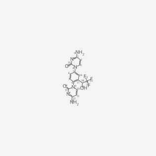 Nc1ccn(-c2ccc(-n3ccc(N)nc3=O)c(C(O)C(F)(F)F)c2)c(=O)n1